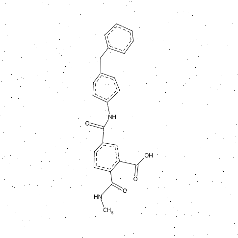 CNC(=O)c1ccc(C(=O)Nc2ccc(Cc3ccccc3)cc2)cc1C(=O)O